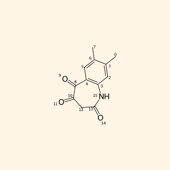 Cc1cc2c(cc1C)C(=O)C(=O)CC(=O)N2